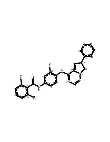 O=C(Nc1ccc(OC2=NC=NN3CC(c4cccnc4)C=C23)c(F)c1)c1c(F)cccc1F